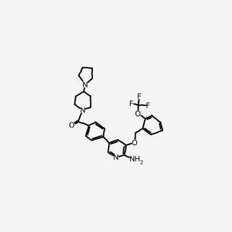 Nc1ncc(-c2ccc(C(=O)N3CCC(N4CCCC4)CC3)cc2)cc1OCc1ccccc1OC(F)(F)F